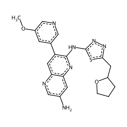 COc1cncc(-c2cc3ncc(N)cc3nc2Nc2nnc(CC3CCCO3)s2)c1